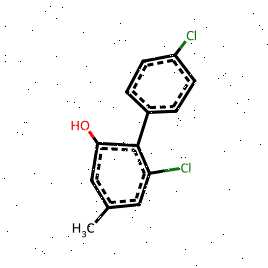 Cc1cc(O)c(-c2ccc(Cl)cc2)c(Cl)c1